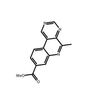 COC(=O)c1ccc2c(c1)nc(C)c1ncncc12